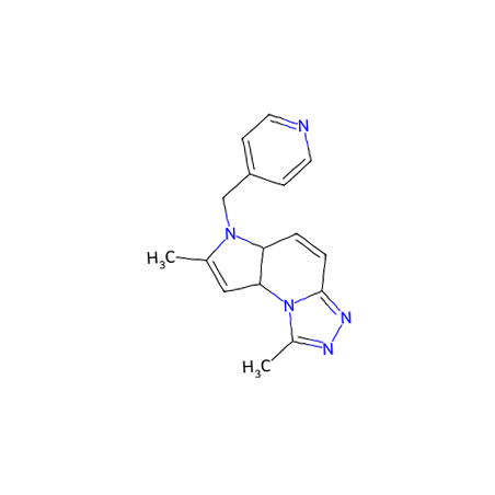 CC1=CC2C(C=Cc3nnc(C)n32)N1Cc1ccncc1